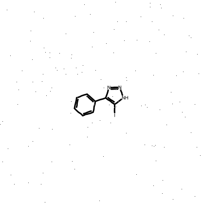 Ic1[nH]nnc1-c1ccccc1